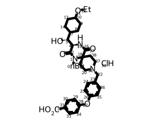 CCCCN1C(=O)[C@@H]([C@H](O)C2CCC(OCC)CC2)NC(=O)C12CCN(Cc1ccc(Oc3ccc(C(=O)O)cc3)cc1)CC2.Cl